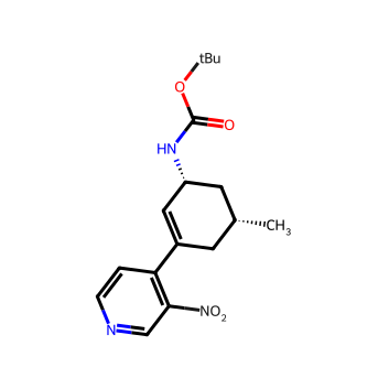 C[C@@H]1CC(c2ccncc2[N+](=O)[O-])=C[C@H](NC(=O)OC(C)(C)C)C1